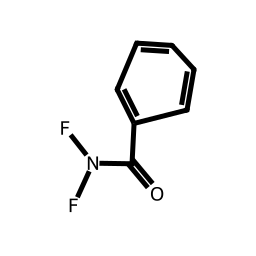 O=C(c1ccccc1)N(F)F